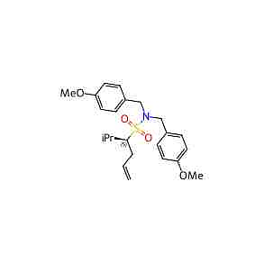 C=CC[C@@H](C(C)C)S(=O)(=O)N(Cc1ccc(OC)cc1)Cc1ccc(OC)cc1